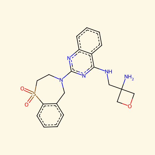 NC1(CNc2nc(N3CCS(=O)(=O)c4ccccc4C3)nc3ccccc23)COC1